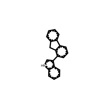 c1ccc2c(c1)Cc1c-2cccc1-c1c[nH]c2ccccc12